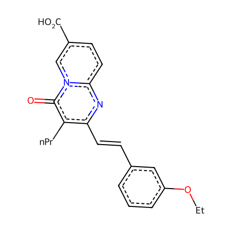 CCCc1c(C=Cc2cccc(OCC)c2)nc2ccc(C(=O)O)cn2c1=O